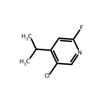 CC(C)c1cc(F)ncc1Cl